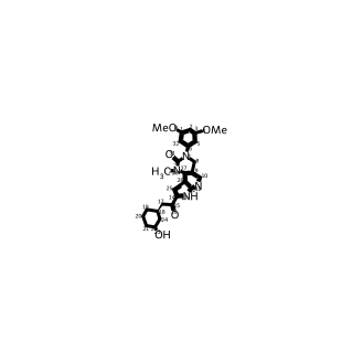 COc1cc(OC)cc(N2Cc3cnc4[nH]c(C(=O)C[C@@H]5CCCC(O)C5)cc4c3N(C)C2=O)c1